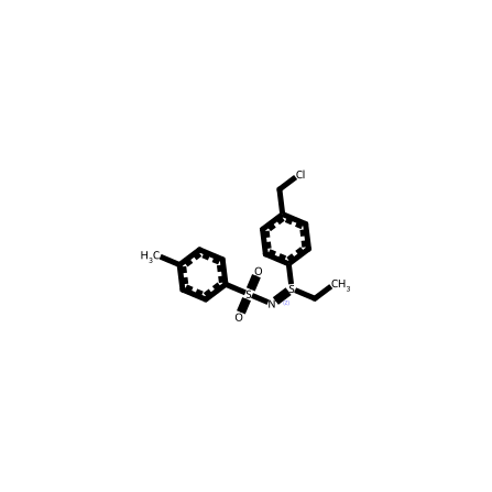 CC/S(=N/S(=O)(=O)c1ccc(C)cc1)c1ccc(CCl)cc1